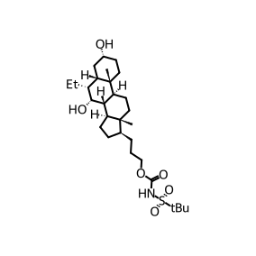 CC[C@H]1[C@@H](O)[C@@H]2[C@H](CC[C@]3(C)[C@@H](CCCOC(=O)NS(=O)(=O)C(C)(C)C)CC[C@@H]23)[C@@]2(C)CC[C@@H](O)C[C@@H]12